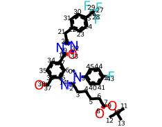 CN(/C(CCCCC(=O)OC(C)(C)C)=N\c1cc(-c2nc(Cc3ccc(C(F)(F)F)cc3)no2)ccc1C=O)c1ccc(F)cc1